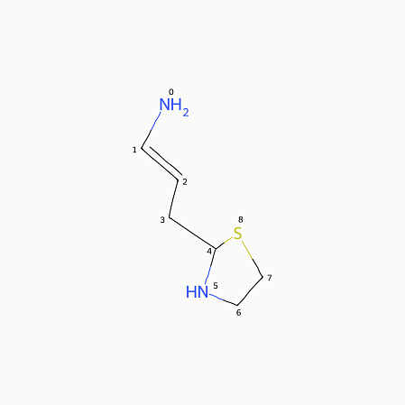 NC=CCC1NCCS1